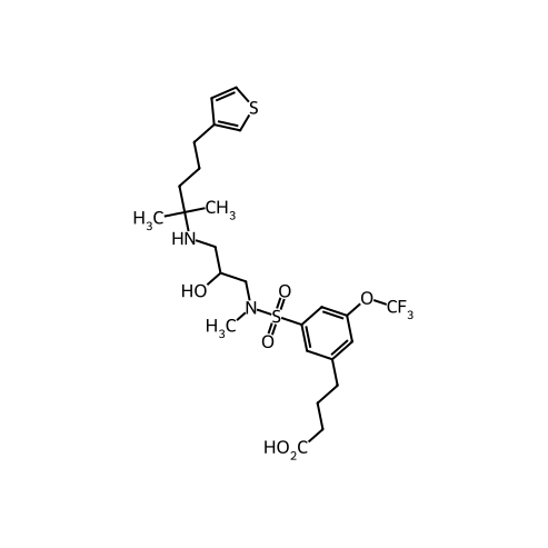 CN(CC(O)CNC(C)(C)CCCc1ccsc1)S(=O)(=O)c1cc(CCCC(=O)O)cc(OC(F)(F)F)c1